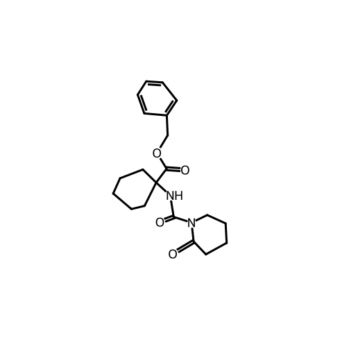 O=C1CCCCN1C(=O)NC1(C(=O)OCc2ccccc2)CCCCC1